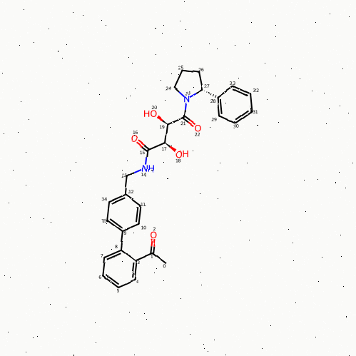 CC(=O)c1ccccc1-c1ccc(CNC(=O)[C@H](O)[C@@H](O)C(=O)N2CCC[C@@H]2c2ccccc2)cc1